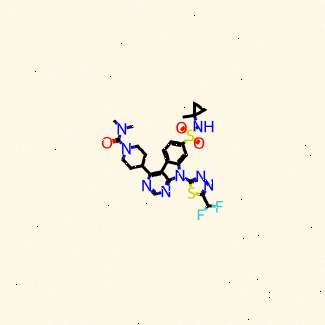 CN(C)C(=O)N1CCC(c2ncnc3c2c2ccc(S(=O)(=O)NC4(C)CC4)cc2n3-c2nnc(C(F)F)s2)CC1